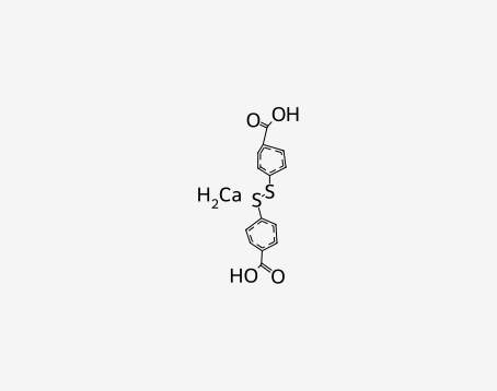 O=C(O)c1ccc(SSc2ccc(C(=O)O)cc2)cc1.[CaH2]